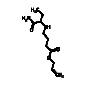 C=CCOC(=O)CCCN[C@H](CC)C(N)=O